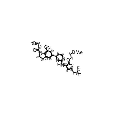 COCCOc1nn(CC(F)F)cc1Nc1nccc(-c2cc(C#N)c3c(c2)CCN3C(=O)OC(C)(C)C)n1